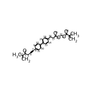 C=C(C)C(=O)CC#Cc1ccc(-c2ccc(CCC(=O)OCOC(=O)C(=C)C)cc2)cc1